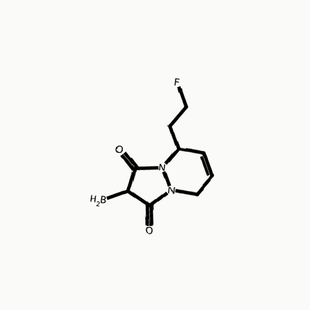 BC1C(=O)N2CC=CC(CCF)N2C1=O